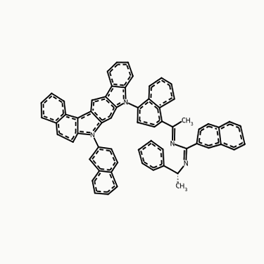 C/C(=N\C(=N/[C@H](C)c1ccccc1)c1ccc2ccccc2c1)c1ccc(-n2c3ccccc3c3cc4c5c6ccccc6ccc5n(-c5ccc6ccccc6c5)c4cc32)c2ccccc12